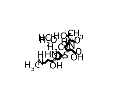 CNCCC(O)[C@@H]1C[C@H](SC2=C(C(=O)O)N3C(=O)[C@H](C(C)O)[C@H]3[C@H]2C)CN1.Cl.O